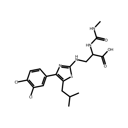 CNC(=O)NC(CNc1nc(-c2ccc(Cl)c(Cl)c2)c(CC(C)C)s1)C(=O)O